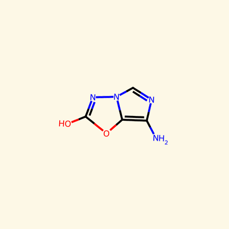 Nc1ncn2nc(O)oc12